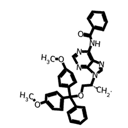 [CH2][C@H](COC(c1ccccc1)(c1ccc(OC)cc1)c1ccc(OC)cc1)n1cnc2c(NC(=O)c3ccccc3)ncnc21